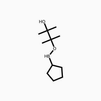 CC(C)(O)C(C)(C)OBC1CCCC1